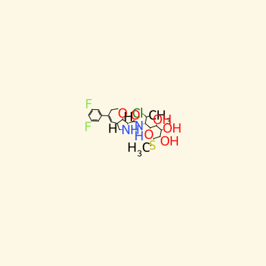 CSC1O[C@H]([C@H](NC(=O)[C@H]2NC[C@@H]3C=C(c4cc(F)cc(F)c4)CCO[C@@H]23)[C@H](C)Cl)[C@@H](O)C(O)[C@H]1O